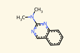 CN(C)c1n[c]c2ccccc2n1